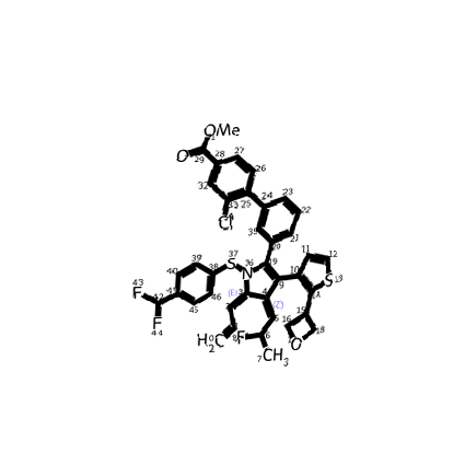 C=C/C=c1\c(=C/C(C)F)c(-c2ccsc2C2COC2)c(-c2cccc(-c3ccc(C(=O)OC)cc3Cl)c2)n1Sc1ccc(C(F)F)cc1